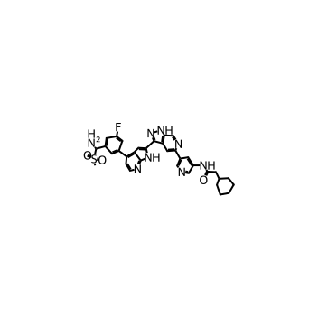 CS(=O)(=O)C(N)c1cc(F)cc(-c2ccnc3[nH]c(-c4n[nH]c5cnc(-c6cncc(NC(=O)CC7CCCCC7)c6)cc45)cc23)c1